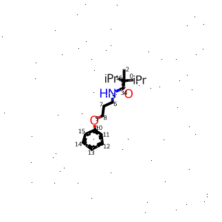 CC(C)C(C)(C(=O)NCCCOc1ccccc1)C(C)C